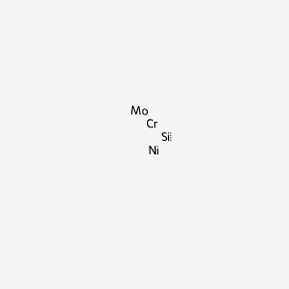 [Cr].[Mo].[Ni].[Si]